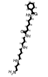 NCCCNCCCCNCCCNC(=O)CCCCCNC(=O)C1CCCCC1